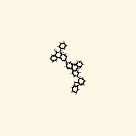 O=c1c2ccccc2c2cc(-c3ccc4c5ccc(-c6cccc7c6sc6ccccc67)cc5c5ccccc5c4c3)ccc2n1-c1ccccc1